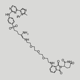 Cc1ncc(-c2ccnc(Nc3ccc(S(=O)(=O)CCC/C(N)=C/NCCOCCOCCOCCNc4cccc5c4C(=O)N(C4CCC(=O)NC4=O)C5=O)cc3)n2)n1C(C)C